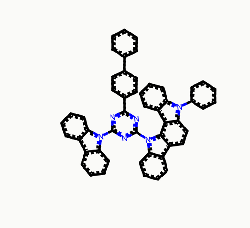 c1ccc(-c2ccc(-c3nc(-n4c5ccccc5c5ccccc54)nc(-n4c5ccccc5c5ccc6c(c7ccccc7n6-c6ccccc6)c54)n3)cc2)cc1